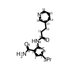 CC(C)c1cc(C(N)=O)c(NC(=O)CCc2cccnc2)s1